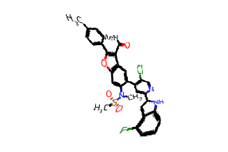 CNC(=O)c1c(-c2ccc(C)cc2)oc2cc(N(C)S(C)(=O)=O)c(-c3cc(C4Cc5c(F)cccc5N4)ncc3Cl)cc12